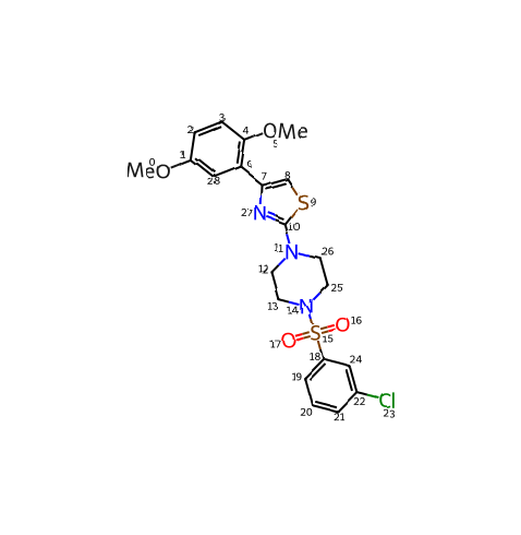 COc1ccc(OC)c(-c2csc(N3CCN(S(=O)(=O)c4cccc(Cl)c4)CC3)n2)c1